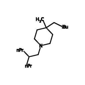 CCCC(CCC)CN1CCC(C)(CC(C)CC)CC1